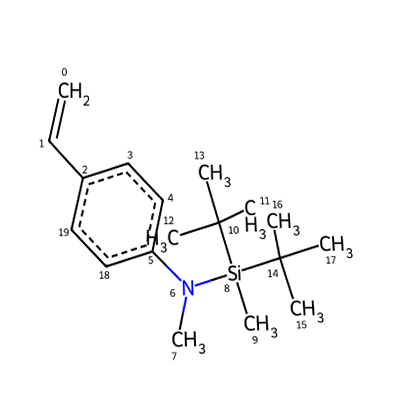 C=Cc1ccc(N(C)[Si](C)(C(C)(C)C)C(C)(C)C)cc1